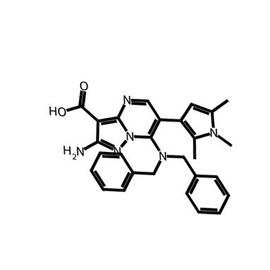 Cc1cc(-c2cnc3c(C(=O)O)c(N)nn3c2N(Cc2ccccc2)Cc2ccccc2)c(C)n1C